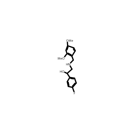 COc1ccc(CNCC(O)c2ccc(F)cc2)c(OC)c1